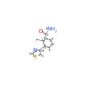 Cc1c(C(N)=O)cccc1-c1cscn1